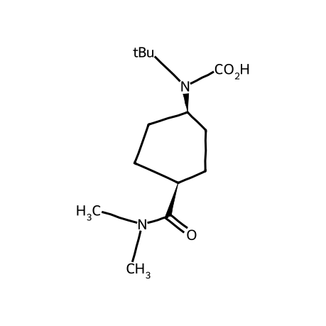 CN(C)C(=O)[C@H]1CC[C@@H](N(C(=O)O)C(C)(C)C)CC1